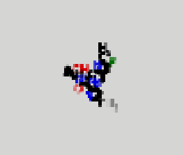 Cc1cnc2c(C(=O)NCC3(O)CC3)nn(Cc3cc(F)c(C)nc3C)c2c1